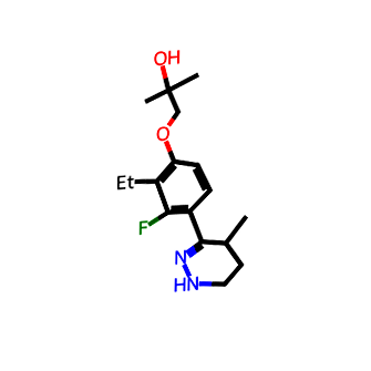 CCc1c(OCC(C)(C)O)ccc(C2=NNCCC2C)c1F